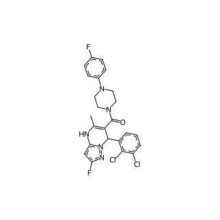 CC1=C(C(=O)N2CCN(c3ccc(F)cc3)CC2)C(c2cccc(Cl)c2Cl)n2nc(F)cc2N1